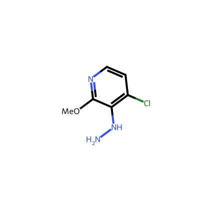 COc1nccc(Cl)c1NN